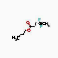 CCCCOC(=O)CC[Si](C)(F)F